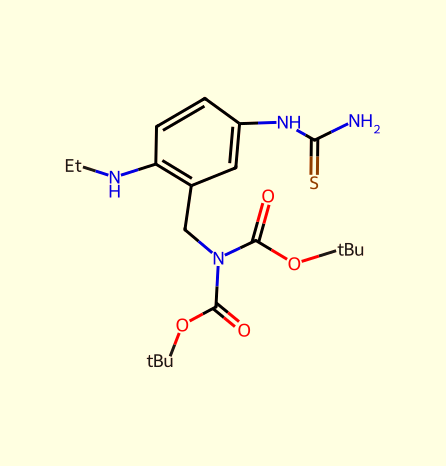 CCNc1ccc(NC(N)=S)cc1CN(C(=O)OC(C)(C)C)C(=O)OC(C)(C)C